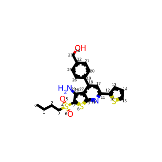 CCCCS(=O)(=O)c1sc2nc(-c3cccs3)cc(-c3ccc(CO)cc3)c2c1N